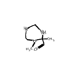 CN1CNCNC1(C)C=O